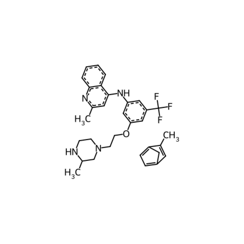 CC1=CC2=CC=C1C2.Cc1cc(Nc2cc(OCCN3CCNC(C)C3)cc(C(F)(F)F)c2)c2ccccc2n1